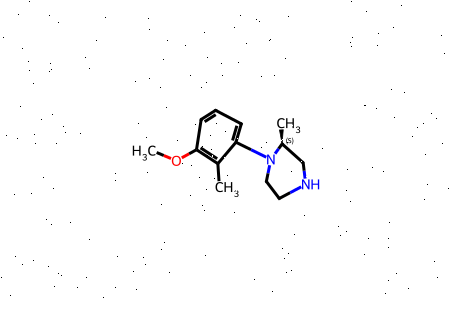 COc1cccc(N2CCNC[C@@H]2C)c1C